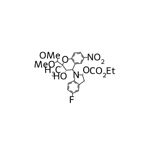 CCOC(=O)O[C@@H]1Cc2cc(F)ccc2N1[C@@H]1c2cc([N+](=O)[O-])ccc2O[C@](C)(C(OC)OC)[C@H]1O